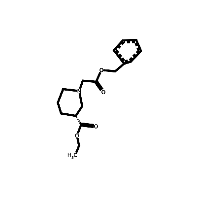 CCOC(=O)[C@@H]1CCCN(CC(=O)OCc2ccccc2)C1